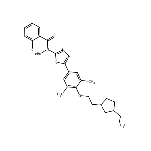 CCCCN(C(=O)c1ccccc1Cl)c1nnc(-c2cc(C)c(OCCN3CCC(CC(=O)O)C3)c(C)c2)s1